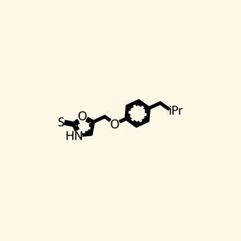 CC(C)Cc1ccc(OCc2c[nH]c(=S)o2)cc1